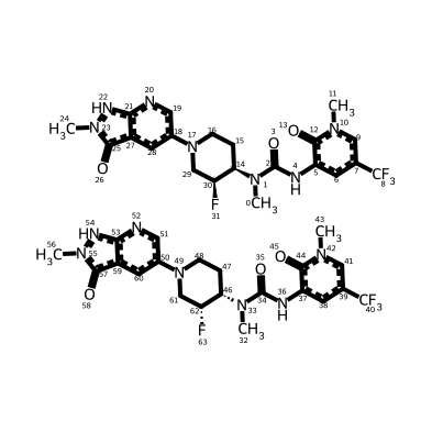 CN(C(=O)Nc1cc(C(F)(F)F)cn(C)c1=O)[C@@H]1CCN(c2cnc3[nH]n(C)c(=O)c3c2)C[C@@H]1F.CN(C(=O)Nc1cc(C(F)(F)F)cn(C)c1=O)[C@H]1CCN(c2cnc3[nH]n(C)c(=O)c3c2)C[C@H]1F